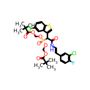 CC(C)(C)C(=O)OCOP(=O)(OCOC(=O)C(C)(C)C)C(C(=O)N/C=C/c1ccc(F)c(Cl)c1)c1csc2ccc(Cl)cc12